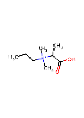 CCC[N+](C)(C)C(C)C(=O)O